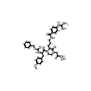 COc1ccc(CC(NC(=O)OCc2ccccc2)C(=O)N2CCN(CC(=O)O)C(=O)C2CCCNC(=O)c2ccc(NC(=N)N)cc2)cc1.Cl